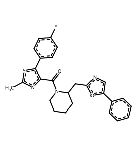 Cc1nc(C(=O)N2CCCCC2Cc2ncc(-c3ccccc3)o2)c(-c2ccc(F)cc2)s1